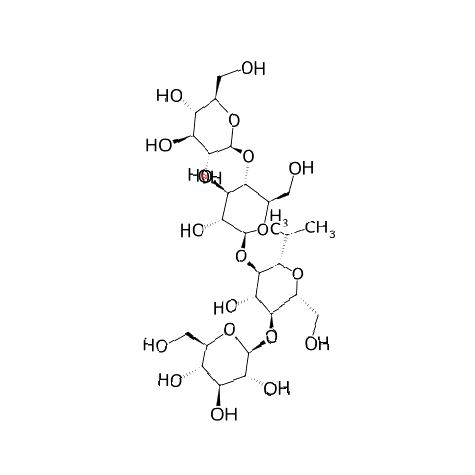 CC(C)[C@@H]1O[C@H](CO)[C@@H](O[C@@H]2O[C@H](CO)[C@@H](O)[C@H](O)[C@H]2O)[C@H](O)[C@H]1O[C@@H]1O[C@H](CO)[C@@H](O[C@@H]2O[C@H](CO)[C@@H](O)[C@H](O)[C@H]2O)[C@H](O)[C@H]1O